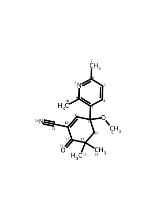 COC1(c2ccc(C)nc2C)C=C(C#N)C(=O)C(C)(C)C1